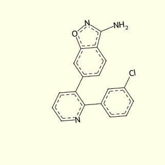 Nc1noc2cc(-c3cccnc3-c3cccc(Cl)c3)ccc12